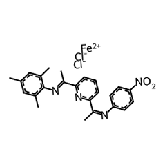 CC(=Nc1ccc([N+](=O)[O-])cc1)c1cccc(C(C)=Nc2c(C)cc(C)cc2C)n1.[Cl-].[Cl-].[Fe+2]